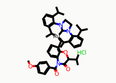 COc1ccc(C(=O)N2C(=O)C(C(C)C)Oc3c(/[CH]=[Ru]/[CH]4N(c5c(C(C)C)cccc5C(C)C)CCN4c4c(C(C)C)cccc4C(C)C)cccc32)cc1.Cl